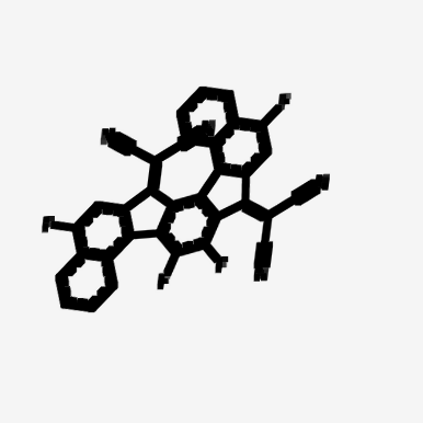 N#CC(C#N)=C1c2cc(F)c3ccccc3c2-c2c1c(F)c(F)c1c2C(=C(C#N)C#N)c2cc(F)c3ccccc3c2-1